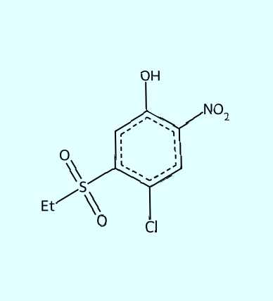 CCS(=O)(=O)c1cc(O)c([N+](=O)[O-])cc1Cl